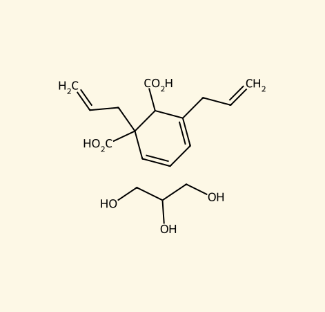 C=CCC1=CC=CC(CC=C)(C(=O)O)C1C(=O)O.OCC(O)CO